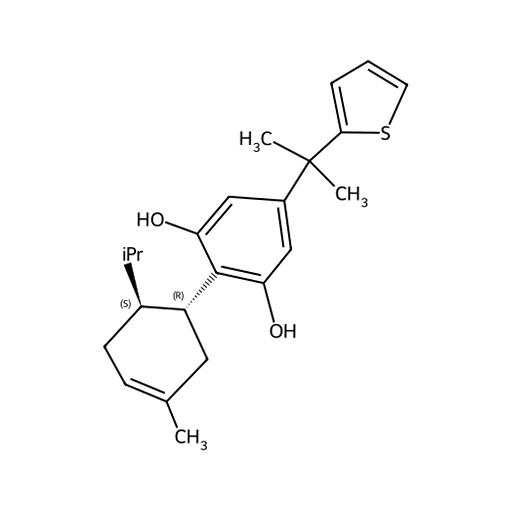 CC1=CC[C@@H](C(C)C)[C@H](c2c(O)cc(C(C)(C)c3cccs3)cc2O)C1